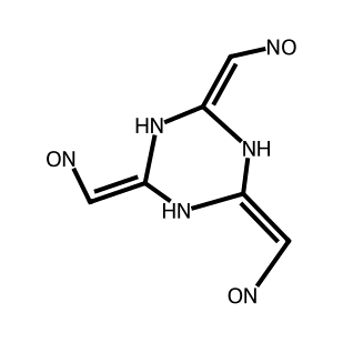 O=NC=C1NC(=CN=O)NC(=CN=O)N1